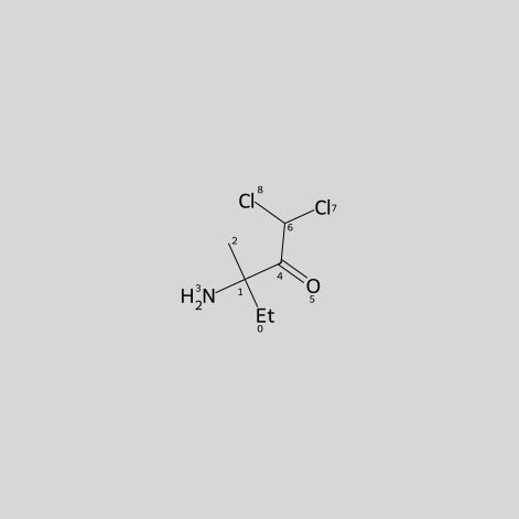 CCC(C)(N)C(=O)C(Cl)Cl